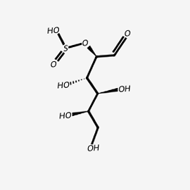 O=C[C@H](OS(=O)O)[C@@H](O)[C@@H](O)[C@H](O)CO